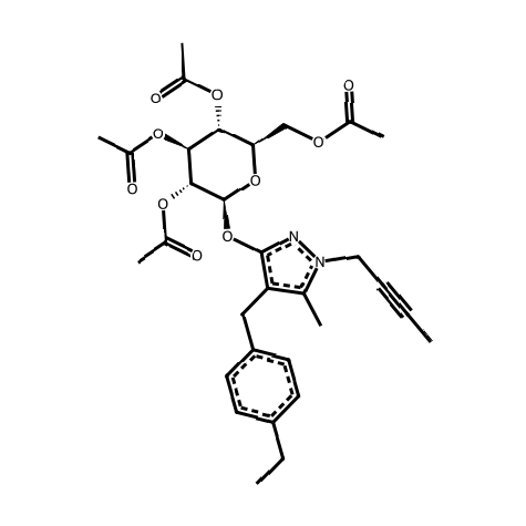 CC#CCn1nc(O[C@@H]2O[C@H](COC(C)=O)[C@@H](OC(C)=O)[C@H](OC(C)=O)[C@H]2OC(C)=O)c(Cc2ccc(CC)cc2)c1C